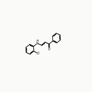 O=C(/C=C/Nc1ccccc1Cl)c1ccccc1